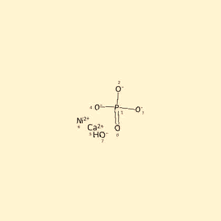 O=P([O-])([O-])[O-].[Ca+2].[Ni+2].[OH-]